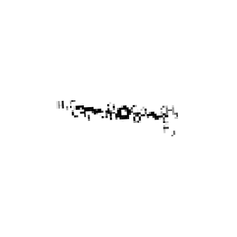 CC(C)CCCCCOC(=O)OC1CCC(OC(=O)OCCCC(C)C)CC1